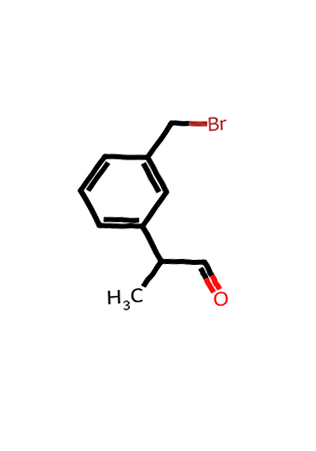 CC(C=O)c1cccc(CBr)c1